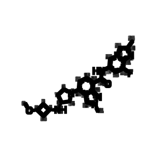 CO[C@H]1C[C@@H](N[C@@H]2CCN(c3ccc(C(=O)Nc4cc(F)c5nc(C)cn5c4)c4nn(C)cc34)C2)C1